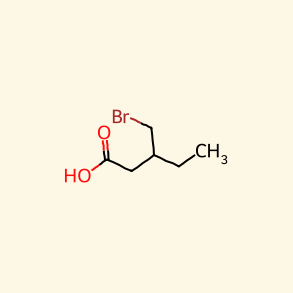 CCC(CBr)CC(=O)O